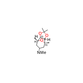 CNC1C[C@@]2(C)O[C@@](C)(C1)[C@@H]1OC(C)(C)O[C@@H]12